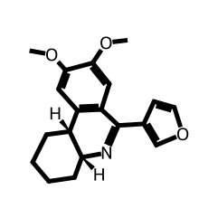 COc1cc2c(cc1OC)[C@H]1CCCC[C@H]1N=C2c1ccoc1